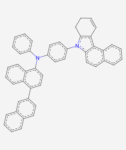 C1=Cc2c(n(-c3ccc(N(c4ccccc4)c4ccc(-c5ccc6ccccc6c5)c5ccccc45)cc3)c3ccc4ccccc4c23)CC1